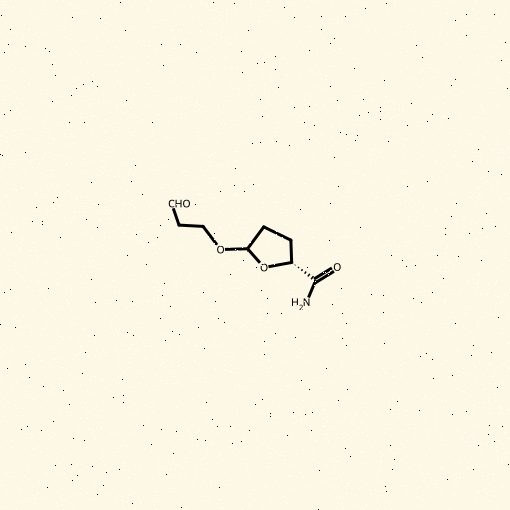 NC(=O)[C@H]1CC[C](OCCC=O)O1